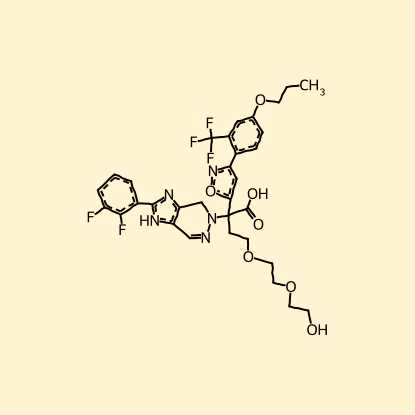 CCCOc1ccc(-c2cc(C(CCOCCOCCO)(C(=O)O)N3Cc4nc(-c5cccc(F)c5F)[nH]c4C=N3)on2)c(C(F)(F)F)c1